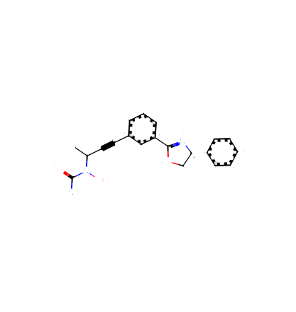 CC(C#Cc1cccc(C2=N[C@H](c3ccccc3)CO2)c1)N(O)C(N)=O